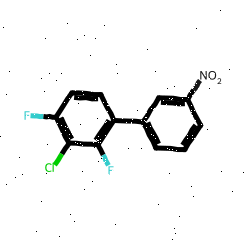 O=[N+]([O-])c1cccc(-c2ccc(F)c(Cl)c2F)c1